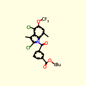 Cc1c(Cl)n(C(=O)c2cccc(C(=O)OC(C)(C)C)c2)c2c(C)cc(OC(F)(F)F)c(Cl)c12